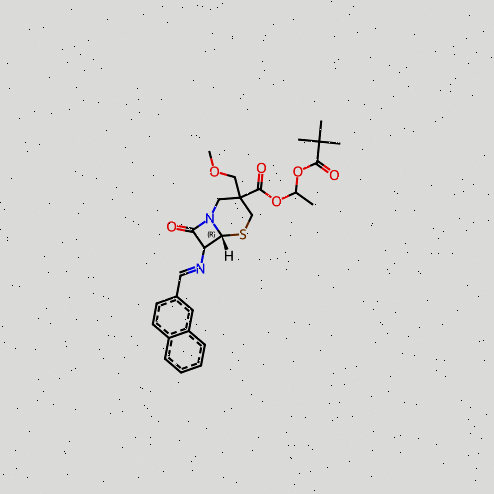 COCC1(C(=O)OC(C)OC(=O)C(C)(C)C)CS[C@@H]2C(N=Cc3ccc4ccccc4c3)C(=O)N2C1